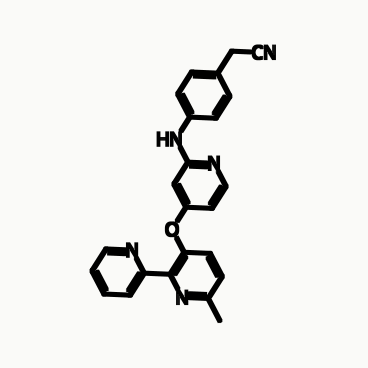 Cc1ccc(Oc2ccnc(Nc3ccc(CC#N)cc3)c2)c(-c2ccccn2)n1